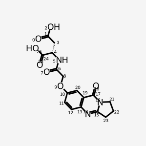 O=C(O)C[C@H](NC(=O)COc1ccc2nc3n(c(=O)c2c1)CCC3)C(=O)O